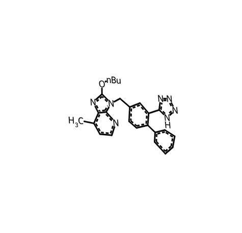 CCCCOc1nc2c(C)ccnc2n1Cc1ccc(-c2ccccc2)c(-c2nnn[nH]2)c1